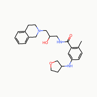 Cc1ccc(NC2CCOC2)cc1C(=O)NCC(O)CN1CCc2ccccc2C1